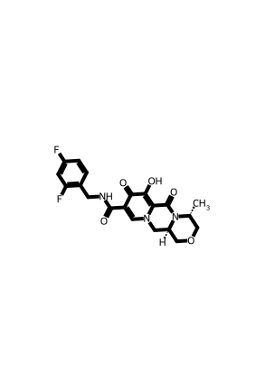 C[C@@H]1COC[C@H]2Cn3cc(C(=O)NCc4ccc(F)cc4F)c(=O)c(O)c3C(=O)N21